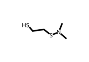 CN(C)SCCS